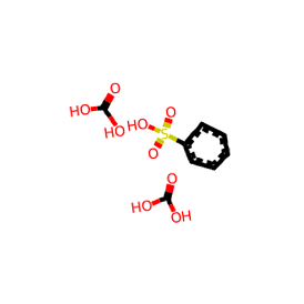 O=C(O)O.O=C(O)O.O=S(=O)(O)c1ccccc1